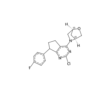 Fc1ccc(C2CCc3c2nc(Cl)nc3N2C[C@@H]3C[C@H]2CO3)cc1